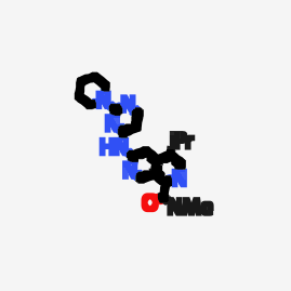 CNC(=O)c1ncc(C(C)C)c2cc(Nc3ccnc(N4CCCCC4)n3)ncc12